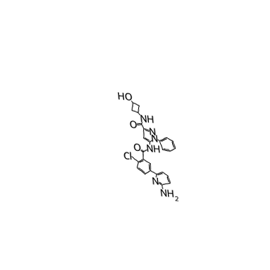 Nc1cccc(-c2ccc(Cl)c(C(=O)Nc3cc(C(=O)NC4CC(O)C4)nn3-c3ccccc3)c2)n1